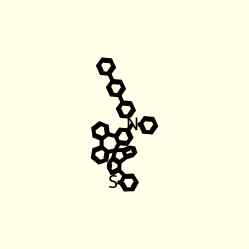 c1ccc(-c2ccc(-c3ccc(N(c4ccccc4)c4ccc5c(c4)-c4ccccc4-c4ccccc4C54c5ccccc5-c5c4ccc4sc6ccccc6c54)cc3)cc2)cc1